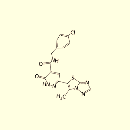 Cc1c(-c2cc(C(=O)NCc3ccc(Cl)cc3)c(=O)[nH]n2)sc2ncnn12